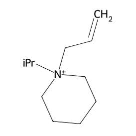 C=CC[N+]1(C(C)C)CCCCC1